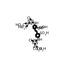 O=C(O)CN(CC(=O)O)c1nc(Cl)nc(Nc2ccc(/C=C/c3ccc(Nc4nc(Cl)nc(N(CC(=O)O)CC(=O)O)n4)cc3S(=O)(=O)O)c(SOOO)c2)n1